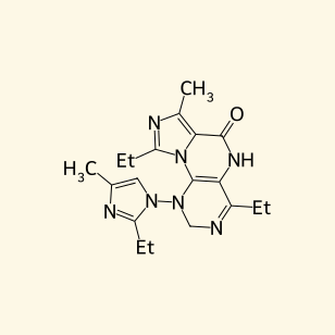 CCC1=NCN(n2cc(C)nc2CC)c2c1[nH]c(=O)c1c(C)nc(CC)n21